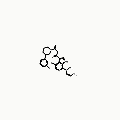 C=C(CC(=O)c1c[nH]c2c(N(N)/C=C\N)ncc(F)c12)N1CCCC(c2cccc(F)c2)C1